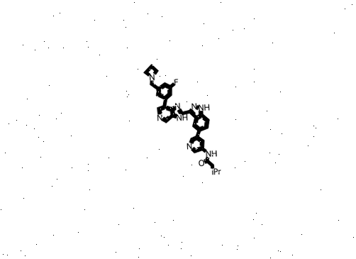 CC(C)CC(=O)Nc1cncc(-c2ccc3[nH]nc(-c4nc5c(-c6cc(F)cc(CN7CCC7)c6)cncc5[nH]4)c3c2)c1